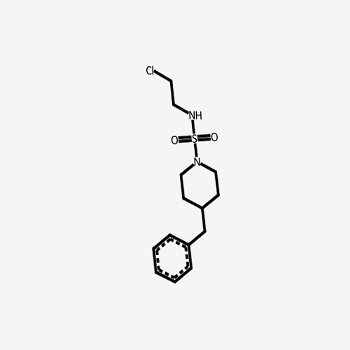 O=S(=O)(NCCCl)N1CCC(Cc2ccccc2)CC1